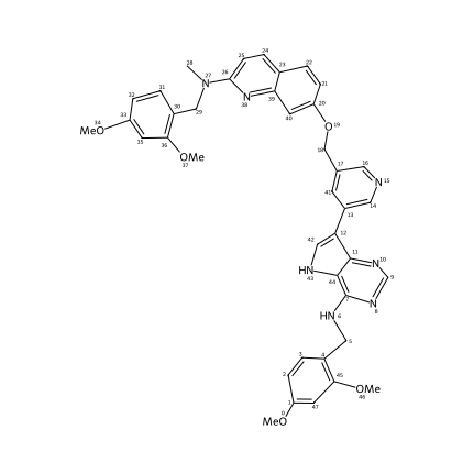 COc1ccc(CNc2ncnc3c(-c4cncc(COc5ccc6ccc(N(C)Cc7ccc(OC)cc7OC)nc6c5)c4)c[nH]c23)c(OC)c1